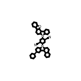 N#Cc1cc(-n2c3ccccc3c3c4oc5ccccc5c4ccc32)c(C#N)cc1-n1c2ccc(-c3ccccc3)cc2c2c3ccccc3ccc21